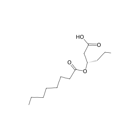 CCCCCCCC(=O)O[C@@H](CCC)CC(=O)O